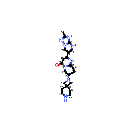 Cc1nc2ncc(-c3cc(=O)n4cc(N5CC6(CCNCC6)C5)ccc4n3)cn2n1